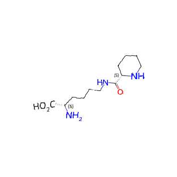 N[C@@H](CCCCNC(=O)[C@@H]1CCCCN1)C(=O)O